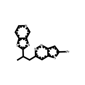 CC(C)c1cc2nnc(CC(C)c3nc4cnccc4s3)cc2s1